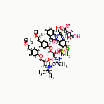 COCCc1ccc(OCC(O)CNC(C)C)cc1.COCCc1ccc(OCC(O)CNC(C)C)cc1.Cc1ccccc1N1C(=O)c2cc(S(N)(=O)=O)c(Cl)cc2NC1C.O=C(O)CCC(=O)O